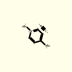 CCCCc1cc[n+](CCCC)cc1.[C-]#N